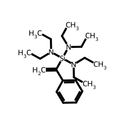 C=C(c1ccccc1)[Si](N(CC)CC)(N(CC)CC)N(CC)CC